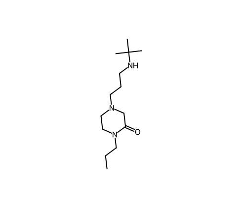 CCCN1CCN(CCCNC(C)(C)C)CC1=O